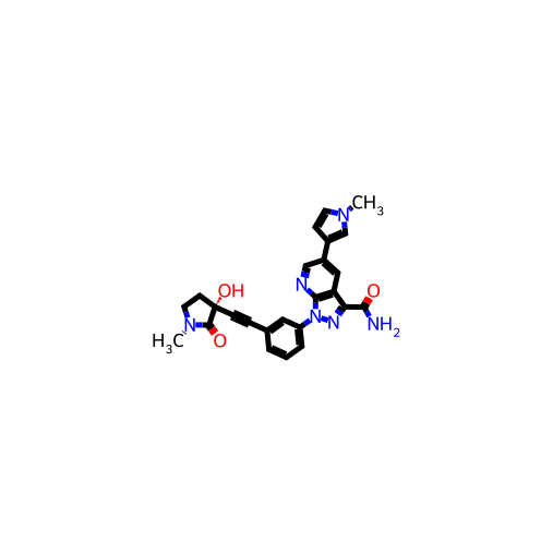 CN1CC[C@@](O)(C#Cc2cccc(-n3nc(C(N)=O)c4cc(-c5ccn(C)c5)cnc43)c2)C1=O